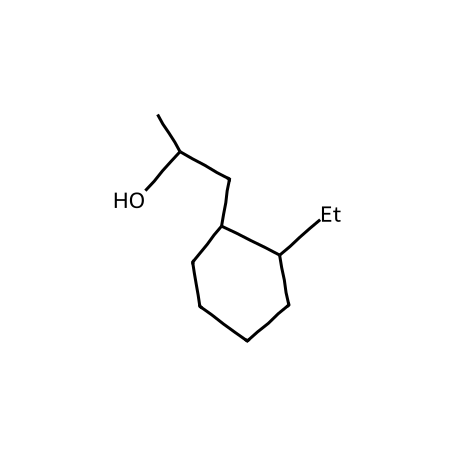 CCC1CCCCC1CC(C)O